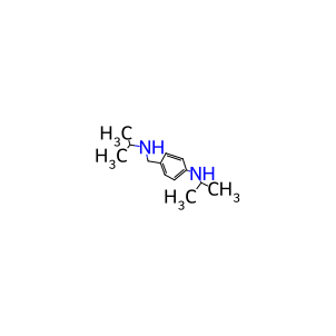 CC(C)NCc1ccc(NC(C)C)cc1